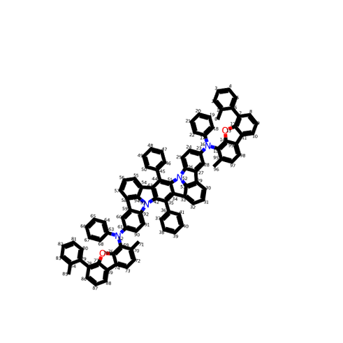 Cc1ccccc1-c1cccc2c1oc1c(N(c3ccccc3)c3ccc4c(c3)c3cccc5c6c(-c7ccccc7)c7c(c(-c8ccccc8)c6n4c35)c3cccc4c5cc(N(c6ccccc6)c6c(C)ccc8c6oc6c(-c9ccccc9C)cccc68)ccc5n7c43)c(C)ccc12